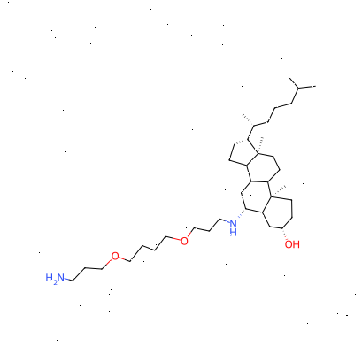 CC(C)CCC[C@@H](C)[C@H]1CCC2C3C[C@@H](NCCCOCCCCOCCCN)C4C[C@@H](O)CC[C@]4(C)C3CC[C@@]21C